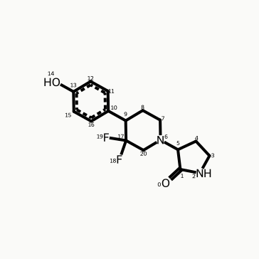 O=C1NCCC1N1CCC(c2ccc(O)cc2)C(F)(F)C1